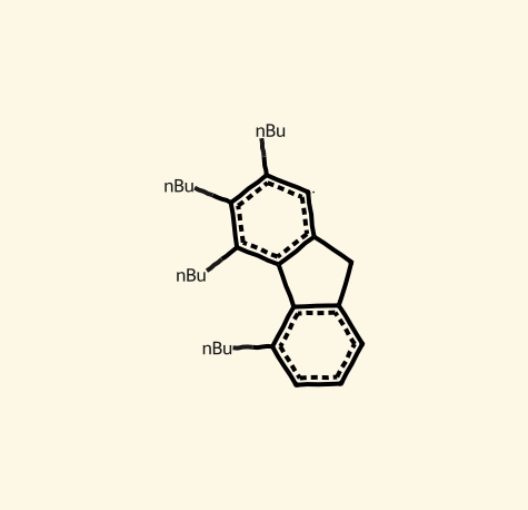 CCCCc1[c]c2c(c(CCCC)c1CCCC)-c1c(CCCC)cccc1C2